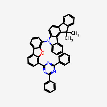 CC1(C)c2ccccc2-c2ccc3c(c21)c1ccccc1n3-c1cccc2c1oc1c(-c3nc(-c4ccccc4)nc(-c4ccccc4)n3)cccc12